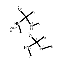 CNC(C)([O-])NC.CNC(C)([O-])NC.[Zn+2]